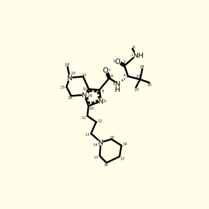 CNC(=O)[C@@H](NC(=O)c1nc(CCCN2CCCCC2)n2c1CN(C)CC2)C(C)(C)C